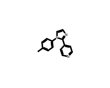 Cc1ccc(-n2ccnc2-c2ccncc2)cc1